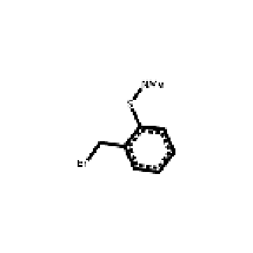 CNSc1ccccc1CBr